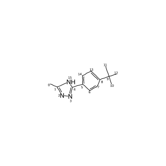 Cc1nnc(-c2ccc(C(C)(C)C)cc2)[nH]1